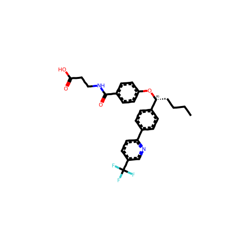 CCCC[C@@H](Oc1ccc(C(=O)NCCC(=O)O)cc1)c1ccc(-c2ccc(C(F)(F)F)cn2)cc1